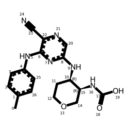 Cc1ccc(Nc2nc(N[C@@H]3CCOC[C@@H]3NC(=O)O)cnc2C#N)cc1